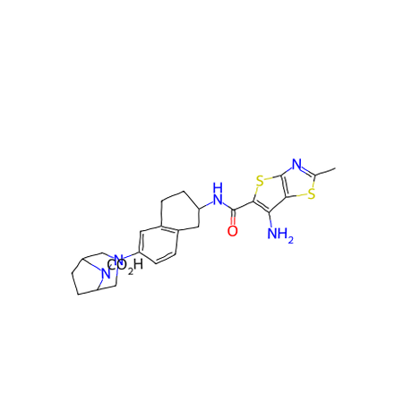 Cc1nc2sc(C(=O)NC3CCc4cc(N5CC6CCC(C5)N6C(=O)O)ccc4C3)c(N)c2s1